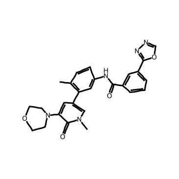 Cc1ccc(NC(=O)c2cccc(-c3nnco3)c2)cc1-c1cc(N2CCOCC2)c(=O)n(C)c1